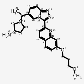 COCCCOc1ccc2ccc(-c3nnc4ccc([C@H](C)N5CC[C@H](N)C5)cn34)nc2c1